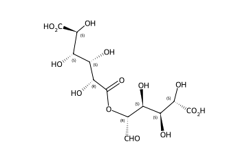 O=C[C@H](OC(=O)[C@H](O)[C@@H](O)[C@H](O)[C@H](O)C(=O)O)[C@@H](O)[C@H](O)[C@H](O)C(=O)O